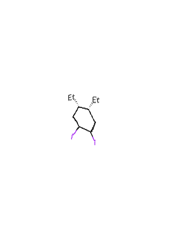 CC[C@@H]1CC(I)C(I)C[C@@H]1CC